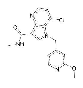 CNC(=O)c1cn(Cc2ccnc(OC)c2)c2c(Cl)ccnc12